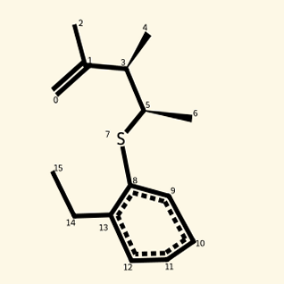 C=C(C)[C@@H](C)[C@@H](C)Sc1ccccc1CC